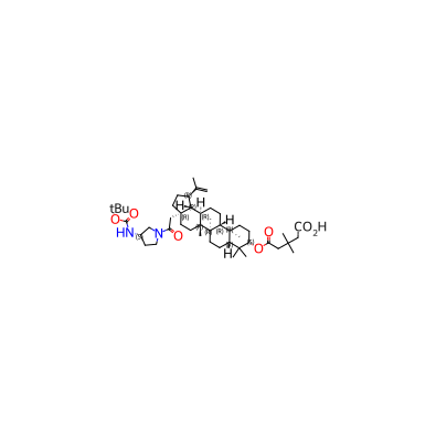 C=C(C)[C@@H]1CC[C@]2(CC(=O)N3CC[C@H](NC(=O)OC(C)(C)C)C3)CC[C@]3(C)[C@H](CC[C@@H]4[C@@]5(C)CC[C@H](OC(=O)CC(C)(C)CC(=O)O)C(C)(C)[C@@H]5CC[C@]43C)[C@@H]12